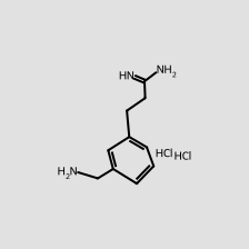 Cl.Cl.N=C(N)CCc1cccc(CN)c1